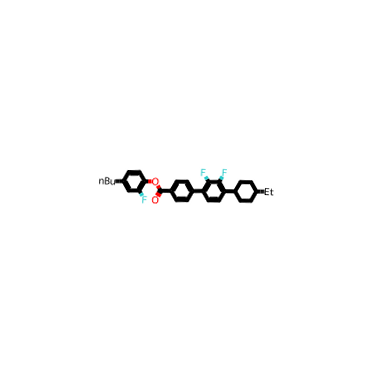 CCCCc1ccc(OC(=O)c2ccc(-c3ccc(C4CCC(CC)CC4)c(F)c3F)cc2)c(F)c1